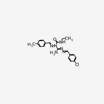 CCNC(=O)N(/N=C/c1ccc(C)cc1)/C(N)=N/N=C/c1ccc(Cl)cc1